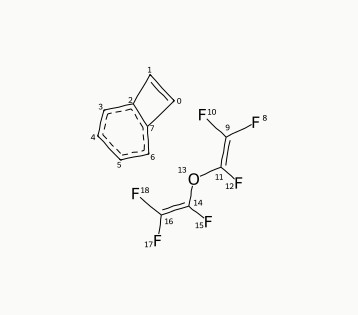 C1=Cc2ccccc21.FC(F)=C(F)OC(F)=C(F)F